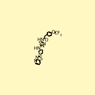 O=C(Cc1ccc(OC(F)(F)F)cc1)Nc1nnc(NC2CCN(c3nc4ncccc4s3)C2)s1